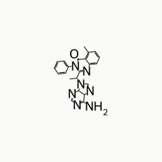 Cc1cccc2nc(C(C)N3C=NC4C(N)=NC=NC43)n(-c3ccccc3)c(=O)c12